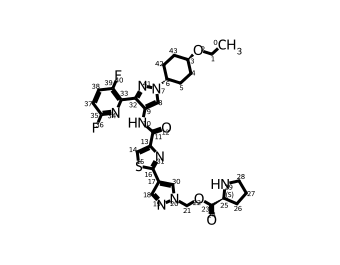 CCO[C@H]1CC[C@H](n2cc(NC(=O)c3csc(-c4cnn(COC(=O)[C@@H]5CCCN5)c4)n3)c(-c3nc(F)ccc3F)n2)CC1